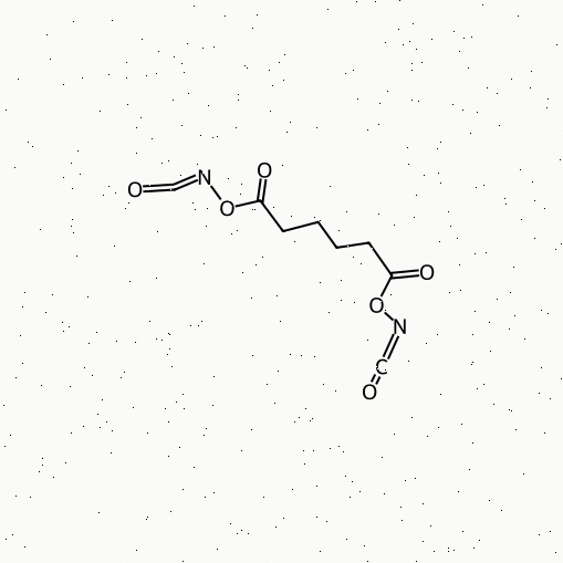 O=C=NOC(=O)CCCCC(=O)ON=C=O